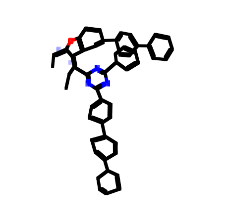 C/C=c1/oc2ccc(-c3ccc(-c4ccccc4)cc3)cc2/c1=C(/CC)c1nc(-c2ccc(-c3ccc(C4C=CC=CC4)cc3)cc2)nc(C2C=CC=CC2)n1